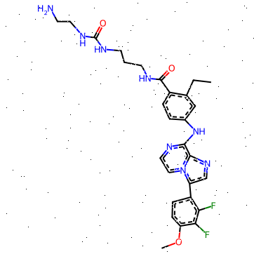 CCc1cc(Nc2nccn3c(-c4ccc(OC)c(F)c4F)cnc23)ccc1C(=O)NCCCNC(=O)NCCN